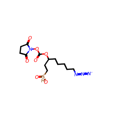 [N-]=[N+]=NCCCCCC(CC[SH](=O)=O)OC(=O)ON1C(=O)CCC1=O